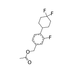 CC(=O)OCc1ccc(C2CCC(F)(F)CC2)c(F)c1